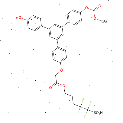 CC(C)(C)OC(=O)Oc1ccc(-c2cc(-c3ccc(O)cc3)cc(-c3ccc(OCC(=O)OCCCC(F)(F)C(F)(F)S(=O)(=O)O)cc3)c2)cc1